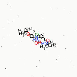 CC(C)(C)COc1ccc(-c2nc(O)nc(-c3cc(CCC(=O)NC(C)(C)C)ccc3Cl)n2)cc1